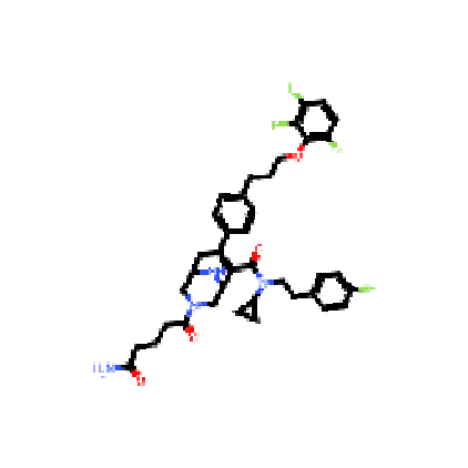 NC(=O)CCCC(=O)N1CC2CC(c3ccc(CCCOc4c(F)ccc(F)c4F)cc3)=C(C(=O)N(CCc3ccc(F)cc3)C3CC3)C(C1)N2